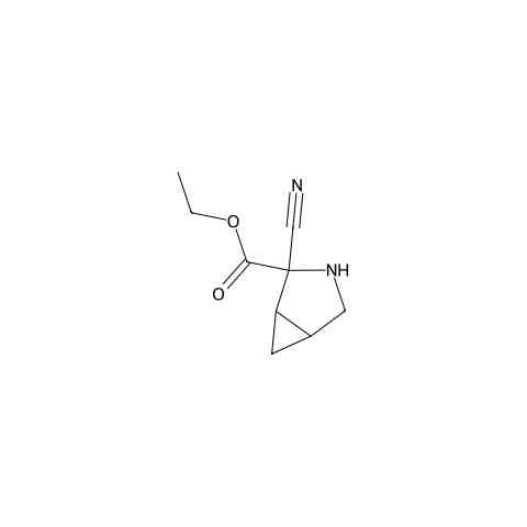 CCOC(=O)C1(C#N)NCC2CC21